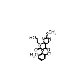 CSc1ncc2c(=O)n(-c3c(C)cccc3Cl)c(=O)n(CCO)c2n1